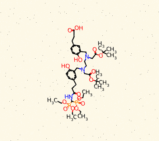 CCOP(=O)(OCC)C(NC(=O)CCc1ccc(O)c(CN(CCN(CC(=O)OC(C)(C)C)Cc2cc(CCC(=O)O)ccc2O)CC(=O)OC(C)(C)C)c1)P(=O)(OCC)OCC